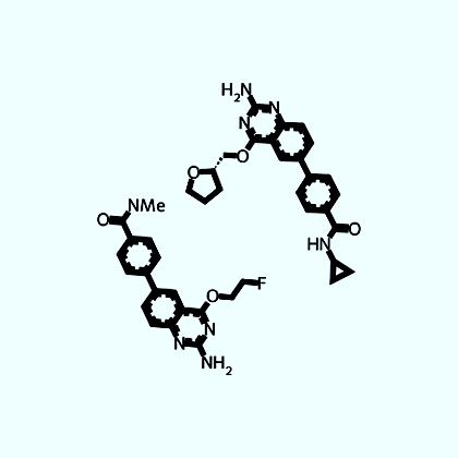 CNC(=O)c1ccc(-c2ccc3nc(N)nc(OCCF)c3c2)cc1.Nc1nc(OC[C@@H]2CCCO2)c2cc(-c3ccc(C(=O)NC4CC4)cc3)ccc2n1